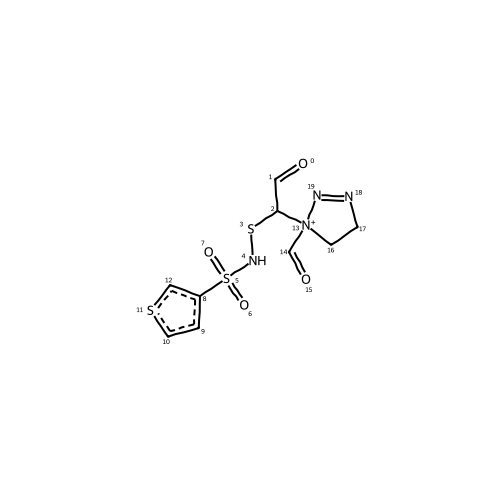 O=CC(SNS(=O)(=O)c1ccsc1)[N+]1(C=O)CCN=N1